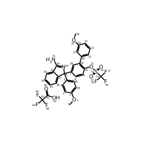 COc1ccc(C2(c3ccc(OS(=O)(=O)C(F)(F)F)c(-c4cccc(OC)c4)c3)N=C(N)c3ccccc32)cc1.O=C(O)C(F)(F)F